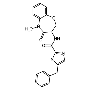 CN1C(=O)C(NC(=O)c2ncc(Cc3ccccc3)s2)COc2ccccc21